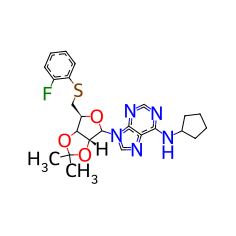 CC1(C)OC2[C@@H](O1)C(n1cnc3c(NC4CCCC4)ncnc31)O[C@@H]2CSc1ccccc1F